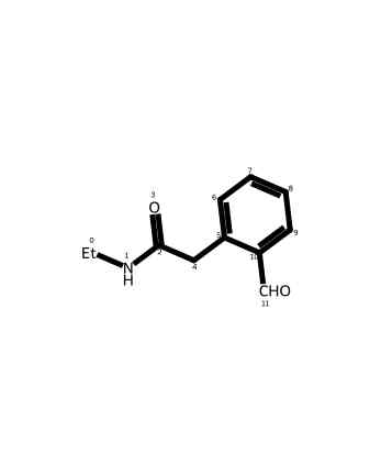 CCNC(=O)Cc1ccccc1C=O